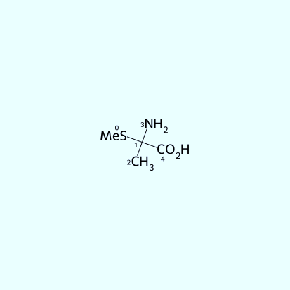 CSC(C)(N)C(=O)O